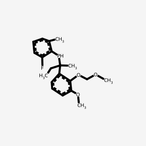 CCC(C)(Pc1c(C)cccc1F)c1cccc(OC)c1OCOC